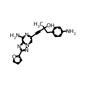 CC(O)(C#Cc1cn2nc(-c3ccco3)nc2c(N)n1)Cc1ccc(N)cc1